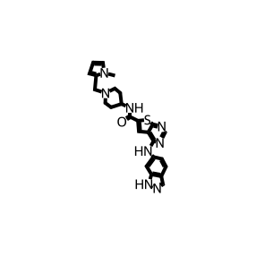 Cn1cccc1CN1CCC(NC(=O)c2cc3c(Nc4ccc5cn[nH]c5c4)ncnc3s2)CC1